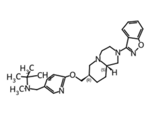 CN(Cc1ccc(OC[C@@H]2CC[C@H]3CN(c4noc5ccccc45)CCN3C2)nc1)C(C)(C)C